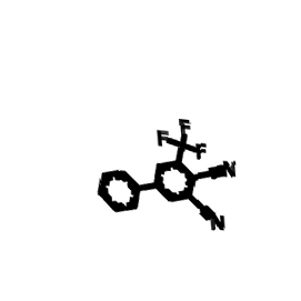 N#Cc1cc(-c2ccccc2)cc(C(F)(F)F)c1C#N